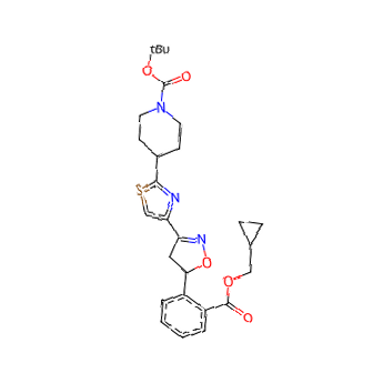 CC(C)(C)OC(=O)N1CCC(c2nc(C3=NOC(c4ccccc4C(=O)OCC4CC4)C3)cs2)CC1